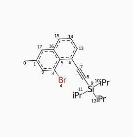 Cc1cc(Br)c2c(C#C[Si](C(C)C)(C(C)C)C(C)C)cccc2c1